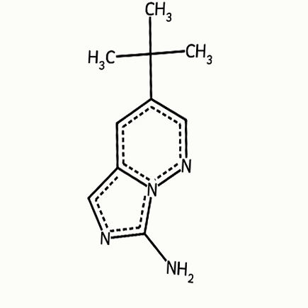 CC(C)(C)c1cnn2c(N)ncc2c1